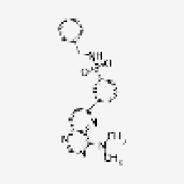 CN(C)c1ncnc2ccc(-c3cccc(S(=O)(=O)NCc4ccccc4)c3)nc12